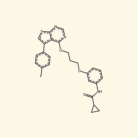 O=C(Nc1cccc(OCCCOc2ncnc3scc(-c4ccc(F)cc4)c23)c1)C1CC1